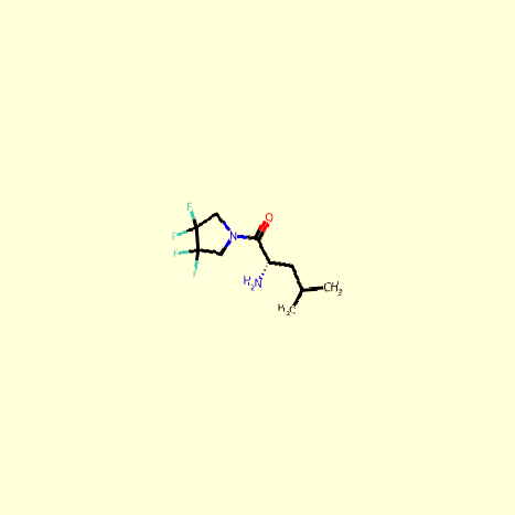 CC(C)C[C@H](N)C(=O)N1CC(F)(F)C(F)(F)C1